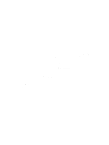 CN(C)CCCn1cc([N+](=O)[O-])cn1